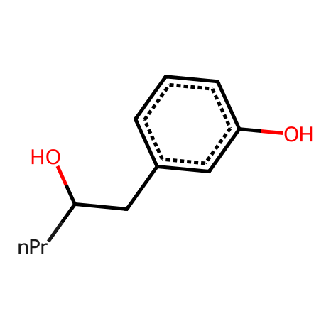 CCCC(O)Cc1cccc(O)c1